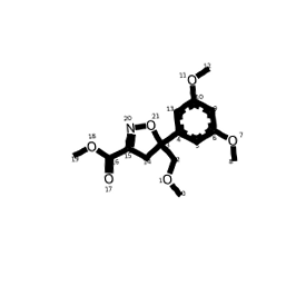 COCC1(c2cc(OC)cc(OC)c2)CC(C(=O)OC)=NO1